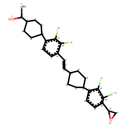 CCCC(O)C1CCC(c2ccc(/C=C/C3CCC(c4ccc(C5CO5)c(F)c4F)CC3)c(F)c2F)CC1